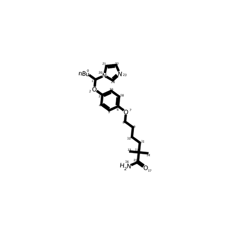 CCCCC(Oc1ccc(OCCCCC(C)(C)C(N)=O)cc1)n1ccnc1